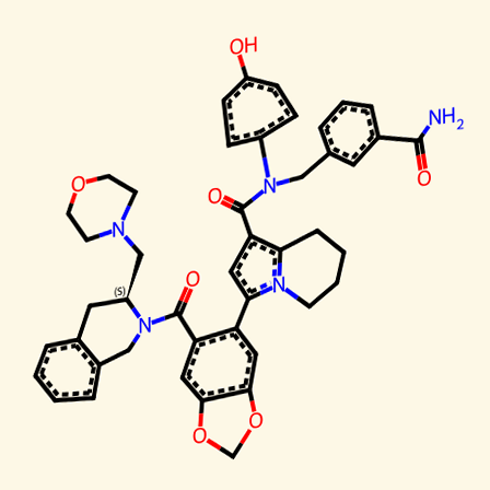 NC(=O)c1cccc(CN(C(=O)c2cc(-c3cc4c(cc3C(=O)N3Cc5ccccc5C[C@H]3CN3CCOCC3)OCO4)n3c2CCCC3)c2ccc(O)cc2)c1